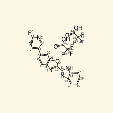 Fc1ncc(-c2ccc3nc(-c4nc5ccccc5[nH]4)oc3c2)cn1.O=C(O)C(F)(F)F.O=C(O)C(F)(F)F